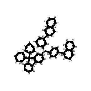 c1ccc(C2(c3ccccc3)c3ccccc3-c3ccc(N(c4ccc(-c5cccc6ccccc56)cc4)c4cccc(-c5ccc6ccccc6c5)c4)cc32)cc1